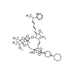 C\C(=C/C=C/C=C/C(C)c1ccccn1)C1OC(=O)CC(O[Si](C)(C)C(C)(C)C)CC[C@@](C)(O)[C@@H](OC(=O)N2CCN(C3CCCCCC3)CC2)/C=C/C1C